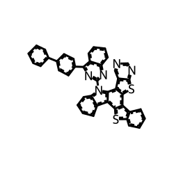 c1ccc(-c2ccc(-c3nc(-n4c5ccccc5c5c6sc7ccccc7c6c6sc7ncncc7c6c54)nc4ccccc34)cc2)cc1